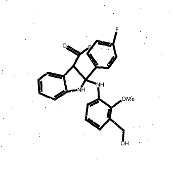 CCC(=O)C1c2ccccc2NC1(Nc1cccc(CO)c1OC)c1ccc(F)cc1